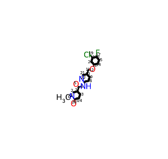 Cn1cc(C(=O)Nc2ccc(COc3ccc(F)c(Cl)c3)cn2)ccc1=O